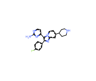 Nc1nccc(-c2c(-c3ccc(F)cc3)nc3cc(C4CCNCC4)ccn23)n1